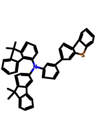 CC1(C)c2ccccc2-c2cc(N(c3cccc(-c4ccc5c(c4)sc4ccccc45)c3)c3cccc4c3-c3ccccc3C4(C)C)ccc21